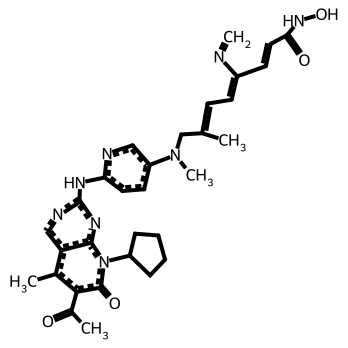 C=NC(=C\C=C(/C)CN(C)c1ccc(Nc2ncc3c(C)c(C(C)=O)c(=O)n(C4CCCC4)c3n2)nc1)/C=C/C(=O)NO